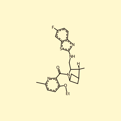 CCOc1ccc(C)nc1C(=O)N1C2CC(C2)[C@@H](C)C1CNc1nc2ccc(F)cc2s1